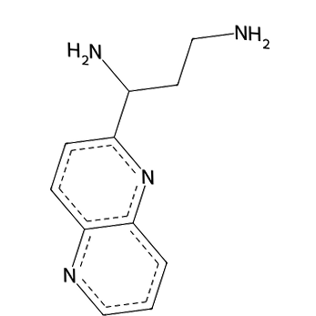 NCCC(N)c1ccc2ncccc2n1